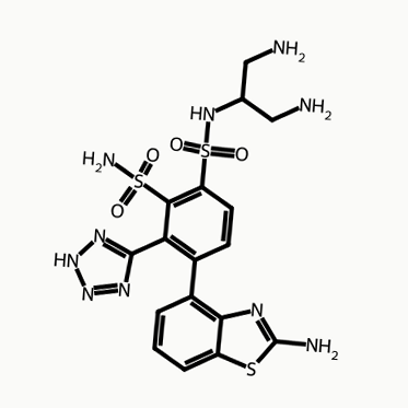 NCC(CN)NS(=O)(=O)c1ccc(-c2cccc3sc(N)nc23)c(-c2nn[nH]n2)c1S(N)(=O)=O